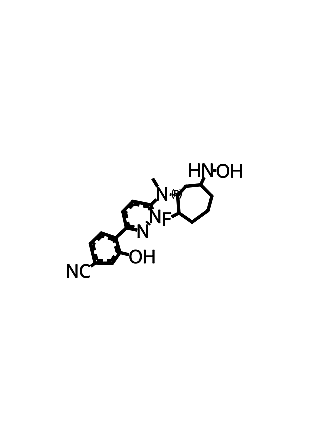 CN(c1ccc(-c2ccc(C#N)cc2O)nn1)[C@@H]1CC(NO)CCCC1F